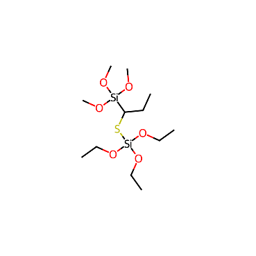 CCO[Si](OCC)(OCC)SC(CC)[Si](OC)(OC)OC